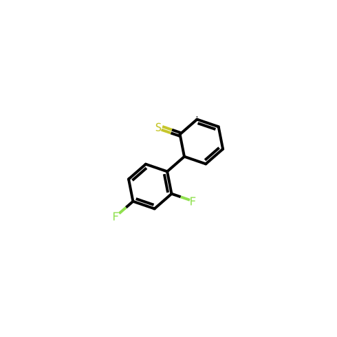 Fc1ccc(C2C=CC=[C]C2=S)c(F)c1